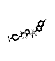 C[C@H](C(=O)N1CCC(N(C)C)CC1)N1CC[C@H](N(C)S(=O)(=O)c2ccc3cc(Cl)ccc3c2)C1=O